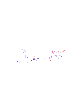 NCCNCC(CNCCN)CC(=O)NCCCCCC(=O)NCC(=O)N1CCC[C@H]1B(O)O